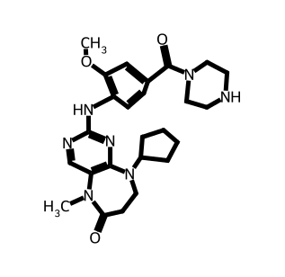 COc1cc(C(=O)N2CCNCC2)ccc1Nc1ncc2c(n1)N(C1CCCC1)CCC(=O)N2C